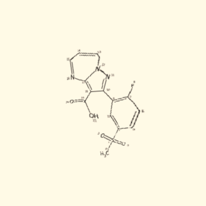 CS(=O)(=O)c1ccc(F)c(-c2nn3cccnc3c2C(=O)O)c1